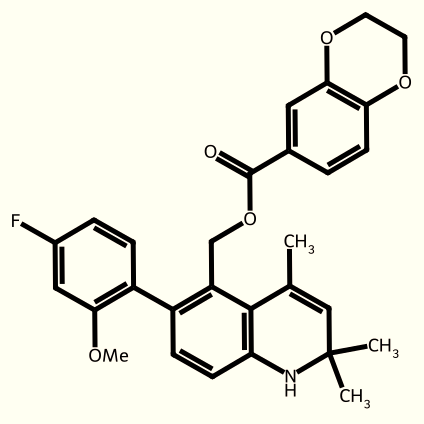 COc1cc(F)ccc1-c1ccc2c(c1COC(=O)c1ccc3c(c1)OCCO3)C(C)=CC(C)(C)N2